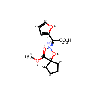 CC(C)(C)OC(=O)C1(O/N=C(\C(=O)O)c2ccco2)CCCC1